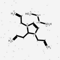 C=CCC1N(CC=C)C=CN1CC=C.O=S(=O)(O)OOS(=O)(=O)O